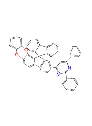 c1ccc(-c2cc(-c3ccc4c(c3)C3(c5ccccc5-c5ccccc53)c3c-4ccc4c3Oc3ccccc3O4)nc(-c3ccccc3)n2)cc1